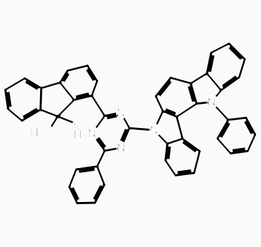 CC1(C)c2ccccc2-c2cccc(-c3nc(-c4ccccc4)nc(-n4c5ccccc5c5c4ccc4c6ccccc6n(-c6ccccc6)c45)n3)c21